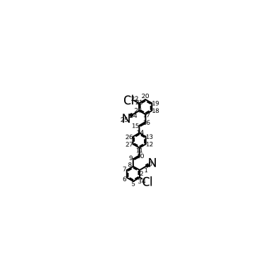 N#Cc1c(Cl)cccc1C=Cc1ccc(C=Cc2cccc(Cl)c2C#N)cc1